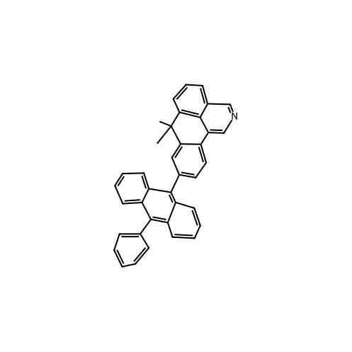 CC1(C)c2cc(-c3c4ccccc4c(-c4ccccc4)c4ccccc34)ccc2-c2cncc3cccc1c23